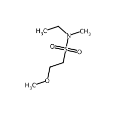 CCN(C)S(=O)(=O)CCOC